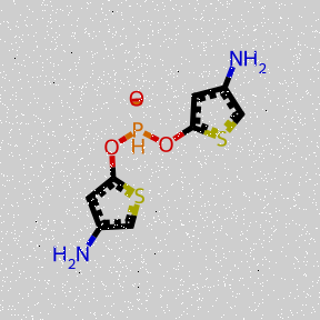 Nc1csc(O[PH](=O)Oc2cc(N)cs2)c1